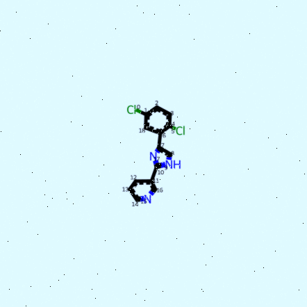 Clc1ccc(Cl)c(-c2c[nH]c(-c3cccnc3)n2)c1